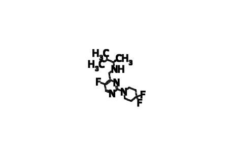 CC(C)[C@@H](C)NCc1nc(N2CCC(F)(F)CC2)ncc1F